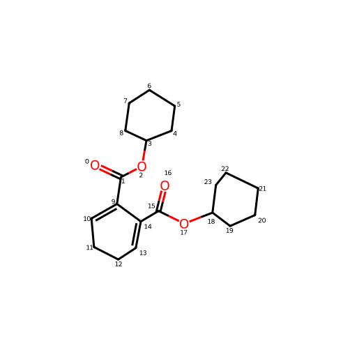 O=C(OC1CCCCC1)C1=CCCC=C1C(=O)OC1CCCCC1